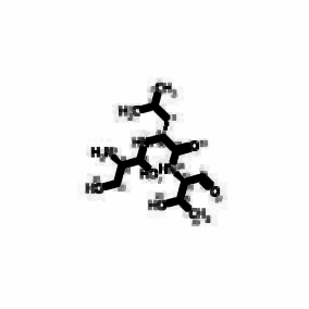 CC(C)C[C@@H](NC(O)[C@H](N)CO)C(=O)N[C@@H](C=O)C(C)O